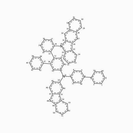 c1ccc(-c2ccc(N(c3ccc(-c4ccccc4-n4c5ccccc5c5cc6ccccc6cc54)c(-c4ccccc4)c3)c3ccc4sc5ccccc5c4c3)cc2)cc1